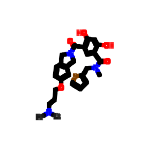 CCN(CC)CCCOc1ccc2c(c1)CN(C(=O)c1cc(C(=O)N(C)Cc3cccs3)c(O)cc1O)C2